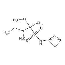 CCN(C)C(C)(OC)S(=O)(=O)NC12CC(C1)C2